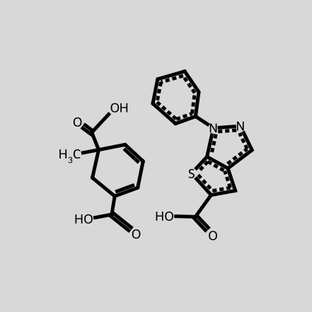 CC1(C(=O)O)C=CC=C(C(=O)O)C1.O=C(O)c1cc2cnn(-c3ccccc3)c2s1